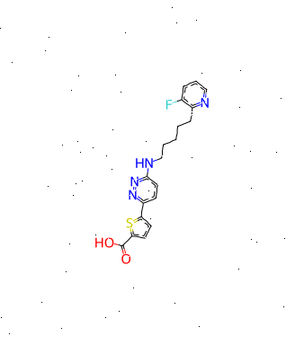 O=C(O)c1ccc(-c2ccc(NCCCCCc3ncccc3F)nn2)s1